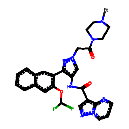 CCN1CCN(C(=O)Cn2cc(NC(=O)c3cnn4cccnc34)c(-c3cc4ccccc4cc3OC(F)F)n2)CC1